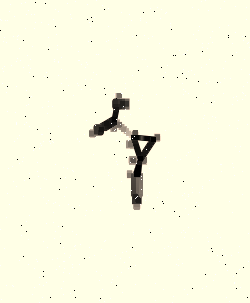 N#C[C@@H]1C[C@H]1C(=O)O